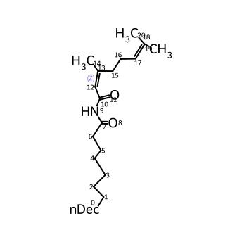 CCCCCCCCCCCCCCCCC(=O)NC(=O)/C=C(/C)CCC=C(C)C